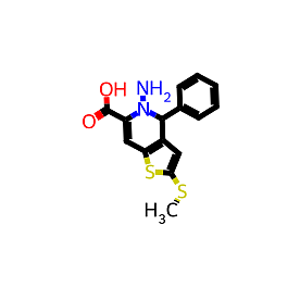 CSc1cc2c(s1)C=C(C(=O)O)N(N)C2c1ccccc1